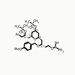 COc1ccc(CO[C@@H](CCOB(P)S)C[C@@H]2C[C@H](O[Si](C)(C)C)C[C@H](C[C@H](CC(C)=O)O[Si](C)(C)C)O2)cc1